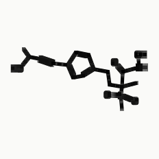 CC(O)C#Cc1ccc(CCC(C)(C(=O)NO)S(C)(=O)=O)cc1